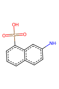 [NH]c1ccc2cccc(S(=O)(=O)O)c2c1